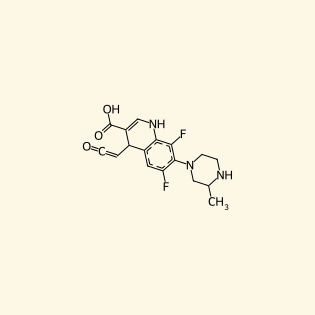 CC1CN(c2c(F)cc3c(c2F)NC=C(C(=O)O)C3C=C=O)CCN1